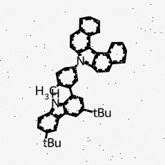 Cc1ccc(-n2c3ccc4ccccc4c3c3c4ccccc4ccc32)cc1-c1cc(C(C)(C)C)cc2c1[nH]c1ccc(C(C)(C)C)cc12